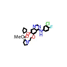 COC(=O)[C@H]1CCCN1CCOc1cc2c(Nc3ccc(F)c(Cl)c3)ncnc2cc1OC1CCCC1